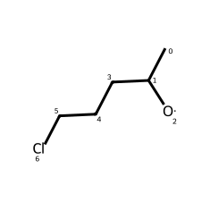 CC([O])CCCCl